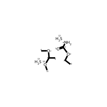 CCOC(N)=O.COC(C)OC.S.S